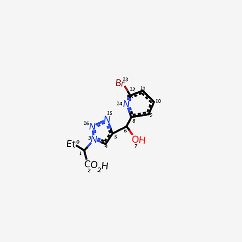 CCC(C(=O)O)n1cc(C(O)c2cccc(Br)n2)nn1